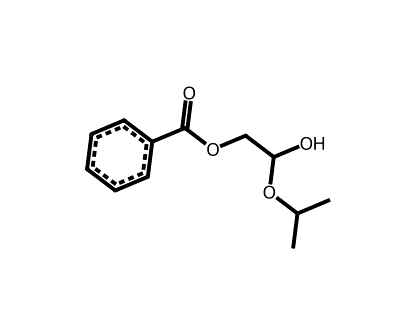 CC(C)OC(O)COC(=O)c1ccccc1